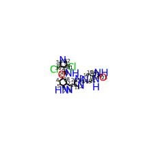 N[C@@H](Oc1ccc2[nH]nc(-c3cnc(N4CCC5(CC4)CNC(=O)N5)nc3)c2c1)c1c(Cl)cncc1Cl